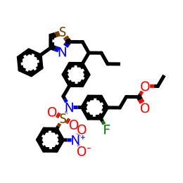 CCCC(Cc1nc(-c2ccccc2)cs1)c1ccc(CN(c2ccc(CCC(=O)OCC)c(F)c2)S(=O)(=O)c2ccccc2[N+](=O)[O-])cc1